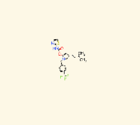 CC(C)CCc1cc(OC(=O)Nc2nccs2)n(Cc2ccc(C(F)(F)F)cc2)c1